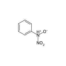 O=[N+]([O-])[NH+]([O-])c1ccccc1